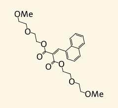 COCCOCCOC(=O)C(=Cc1cccc2ccccc12)C(=O)OCCOCCOC